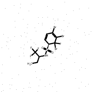 CCC(NS(=O)(=O)[C@H]1C=CC(Br)=C(Br)C1(F)Br)C(F)(F)F